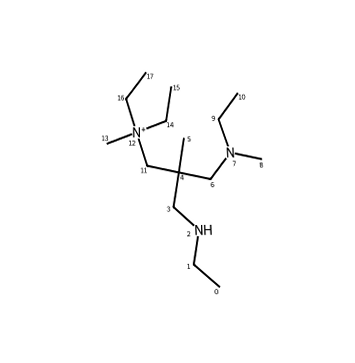 CCNCC(C)(CN(C)CC)C[N+](C)(CC)CC